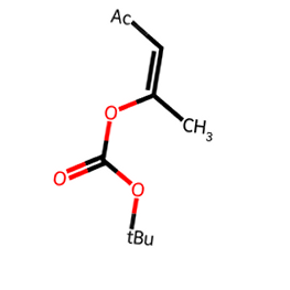 CC(=O)C=C(C)OC(=O)OC(C)(C)C